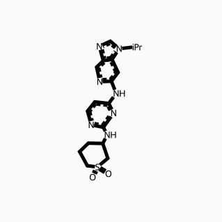 CC(C)n1cnc2cnc(Nc3ccnc(NC4CCCS(=O)(=O)C4)n3)cc21